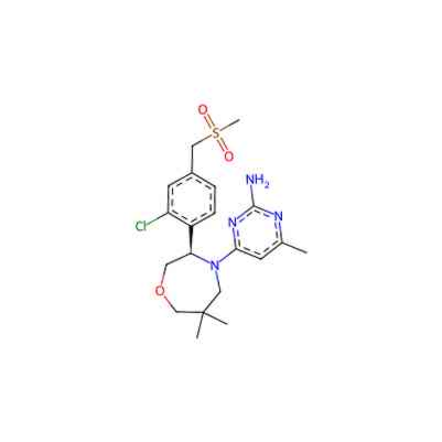 Cc1cc(N2CC(C)(C)COC[C@H]2c2ccc(CS(C)(=O)=O)cc2Cl)nc(N)n1